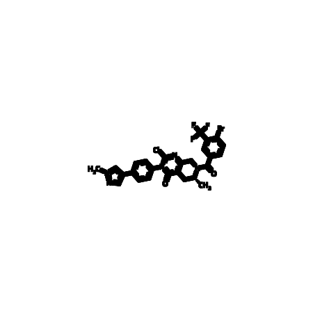 C[C@@H]1Cc2c(nc(Cl)n(-c3ccc(-c4cnn(C)c4)cc3)c2=O)CN1C(=O)c1ccc(Br)c(C(F)(F)F)c1